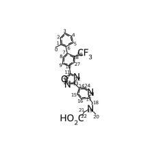 Cc1ccccc1-c1ccc(-c2nc(-c3ccc(CN(C)CC(=O)O)nc3)no2)cc1C(F)(F)F